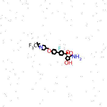 CC(C)(CN1CCC(COC2=CCC(c3ccc(C(=O)[C@@H]4C[C@H](O)CC4C(N)=O)cc3F)C=C2)CC1)C(F)(F)F